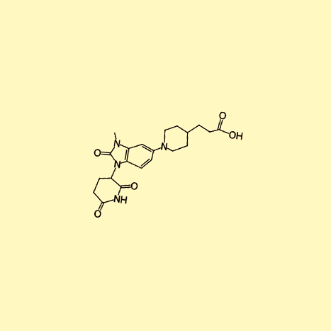 Cn1c(=O)n(C2CCC(=O)NC2=O)c2ccc(N3CCC(CCC(=O)O)CC3)cc21